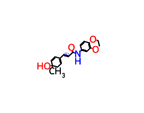 CC1(O)C=CC(/C=C/C(=O)Nc2ccc3c(c2)OCCO3)=CC1